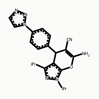 CC(C)c1nn(C(C)C)c2c1C(c1ccc(-n3ccnn3)cc1)C(C#N)=C(N)O2